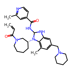 C=CC(=O)N1CCCC[C@@H](N2c3c(C)cc(CN4CCCCC4)cc3NC2NC(=O)c2ccnc(C)c2)C1